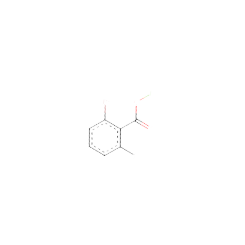 CCc1cccc(Br)c1C(=O)OF